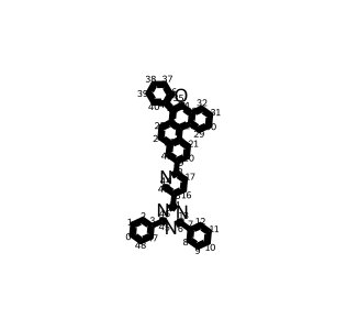 c1ccc(-c2nc(-c3ccccc3)nc(-c3ccc(-c4ccc5c(ccc6c5c5ccccc5c5oc7ccccc7c65)c4)nc3)n2)cc1